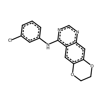 Clc1cccc(Nc2ncnc3cc4c(cc23)OCCO4)c1